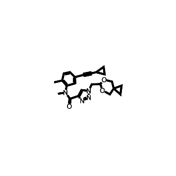 Cc1ccc(C#CC2CC2)cc1N(C)C(=O)c1cn(CC2OCC3(CC3)CO2)nn1